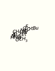 CCc1c(-c2cc(Nc3ncc(C)o3)c(=O)n(C)c2)ccnc1-n1ncc2cc(C(C)(C)C)cc(F)c2c1=O